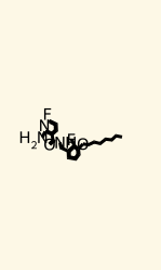 CCCCCCCOc1cccc(CNC(=O)c2ccc(F)nc2N)c1F